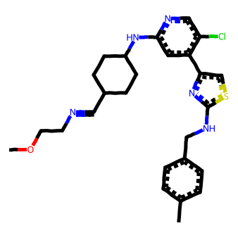 COCC/N=C/C1CCC(Nc2cc(-c3csc(NCc4ccc(C)cc4)n3)c(Cl)cn2)CC1